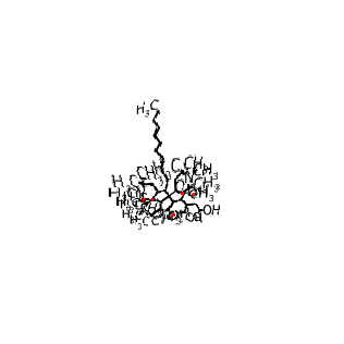 CCCCCCCCCCC(C1CC(C)(C)N(C)C(C)(C)C1)C(C1CC(C)(C)N(C)C(C)(C)C1)(C1CC(C)(C)N(C)C(C)(C)C1)C(C(=O)O)C(C(=O)O)C(CC(=O)O)C(=O)O